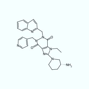 CCn1c(N2CCC[C@@H](N)C2)nc2c(=O)n(Cc3ccncc3)n(Cc3ccc4ccccc4n3)c(=O)c21